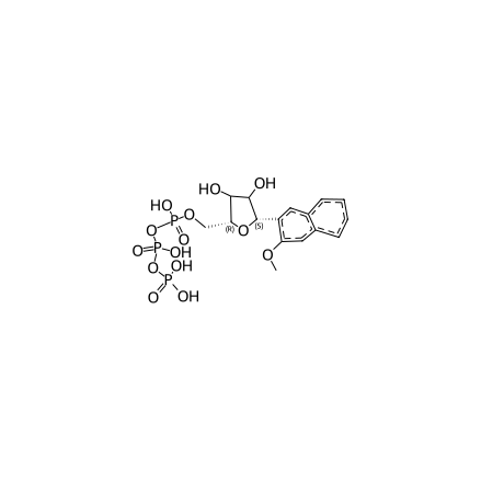 COc1cc2ccccc2cc1[C@@H]1O[C@H](COP(=O)(O)OP(=O)(O)OP(=O)(O)O)C(O)C1O